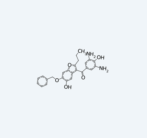 CCCc1oc2cc(OCc3ccccc3)c(O)cc2c1C(=O)c1cc(N)c(O)c(N)c1